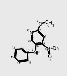 COc1cc([N+](=O)[O-])c(Nc2ccccc2)cn1